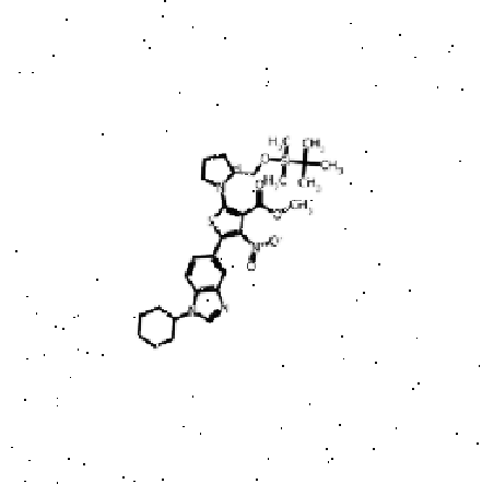 COC(=O)c1c(N2CCC[C@H]2CO[Si](C)(C)C(C)(C)C)sc(-c2ccc3c(c2)ncn3C2CCCCC2)c1[N+](=O)[O-]